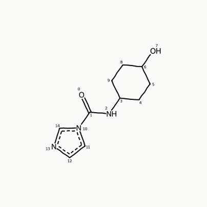 O=C(NC1CCC(O)CC1)n1ccnc1